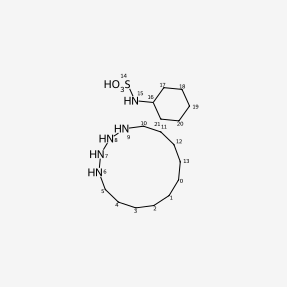 C1CCCCCNNNNCCCC1.O=S(=O)(O)NC1CCCCC1